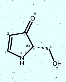 O=C1C=CN[C@H]1CO